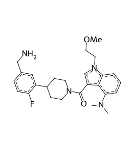 COCCn1cc(C(=O)N2CCC(c3cc(CN)ccc3F)CC2)c2c(N(C)C)cccc21